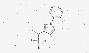 CC(c1ccn(-c2ccccc2)n1)C(F)(F)F